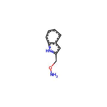 NOCc1cc2ccccc2[nH]1